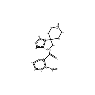 COc1ccccc1C(=O)NCC1(c2cccs2)CCNCC1